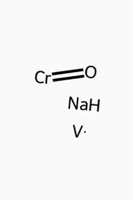 [NaH].[O]=[Cr].[V]